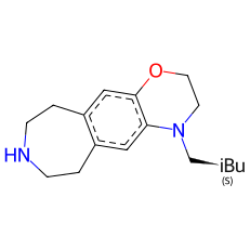 CC[C@H](C)CN1CCOc2cc3c(cc21)CCNCC3